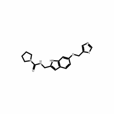 O=C(NCc1cc2ccc(OCc3cncs3)cc2[nH]1)N1CCCC1